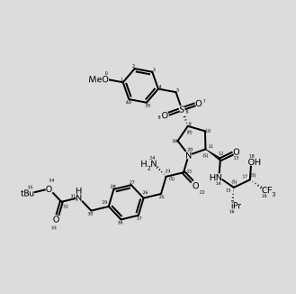 COc1ccc(CS(=O)(=O)[C@@H]2C[C@@H](C(=O)N[C@@H](C(C)C)[C@H](O)C(F)(F)F)N(C(=O)[C@@H](N)Cc3ccc(CNC(=O)OC(C)(C)C)cc3)C2)cc1